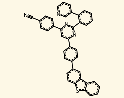 N#Cc1ccc(-c2cc(-c3ccc(-c4ccc5sc6ccccc6c5c4)cc3)nc(-c3ccccc3-c3cccnc3)n2)cc1